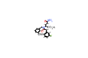 COc1cccc(CN(C(=O)Cc2cccc(F)c2)[C@@H](CCC(N)=O)C(=O)O)c1